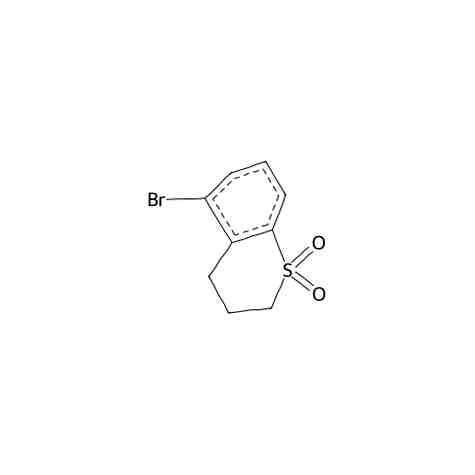 O=S1(=O)CCCc2c(Br)cccc21